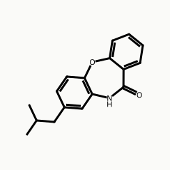 CC(C)Cc1ccc2c(c1)NC(=O)c1ccccc1O2